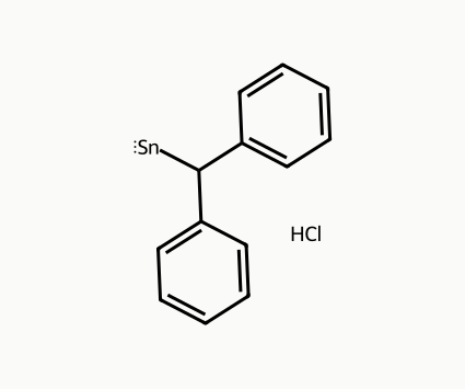 Cl.[Sn][CH](c1ccccc1)c1ccccc1